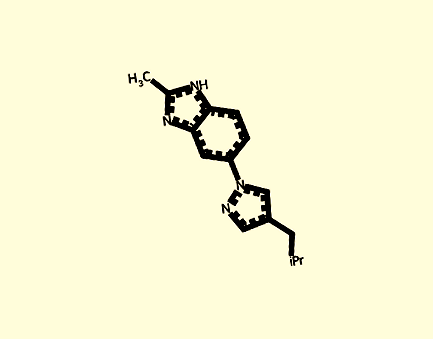 Cc1nc2cc(-n3cc(CC(C)C)cn3)ccc2[nH]1